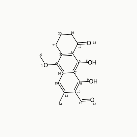 COc1c2c(c(O)c3c(O)c(C=O)c(C)cc13)C(=O)CCC2